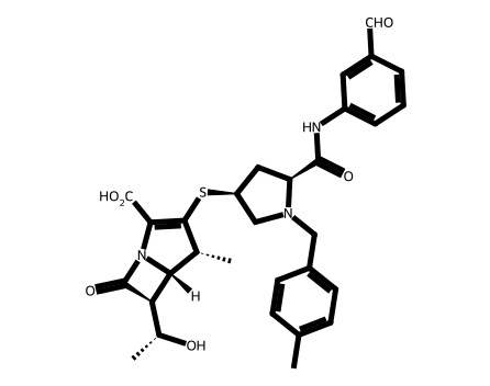 Cc1ccc(CN2C[C@@H](SC3=C(C(=O)O)N4C(=O)[C@H]([C@@H](C)O)[C@H]4[C@H]3C)C[C@H]2C(=O)Nc2cccc(C=O)c2)cc1